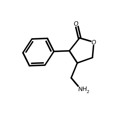 NCC1COC(=O)C1c1ccccc1